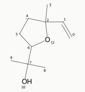 C=CC1(C)[CH]CC(C(C)(C)O)O1